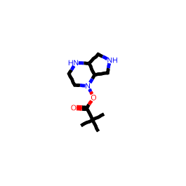 CC(C)(C)C(=O)ON1CCNC2CNCC21